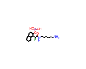 NCCCCCCNC(=O)C(F)c1c(OP(O)O)ccc2ccccc12